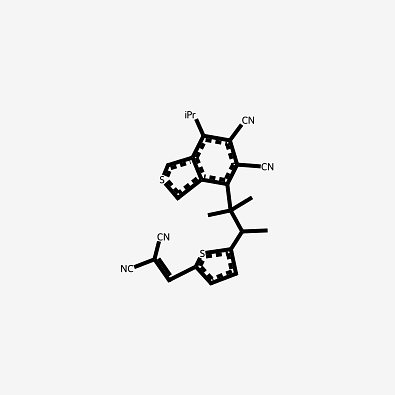 CC(C)c1c(C#N)c(C#N)c(C(C)(C)C(C)c2ccc(C=C(C#N)C#N)s2)c2cscc12